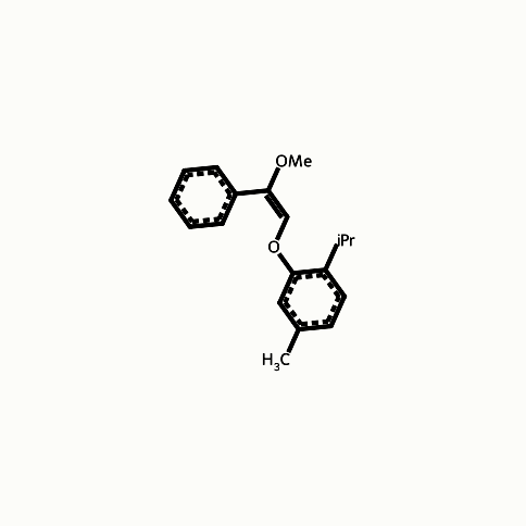 COC(=COc1cc(C)ccc1C(C)C)c1ccccc1